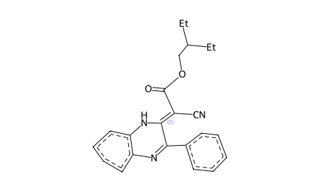 CCC(CC)COC(=O)/C(C#N)=C1\Nc2ccccc2N=C1c1ccccc1